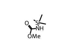 COC(=O)N[Si](C)(C)C